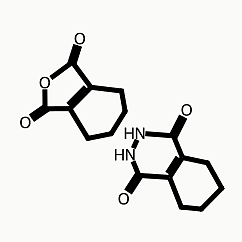 O=C1OC(=O)C2=C1CCCC2.O=c1[nH][nH]c(=O)c2c1CCCC2